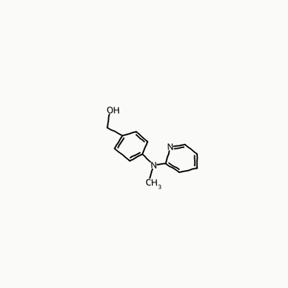 CN(c1ccc(CO)cc1)c1ccccn1